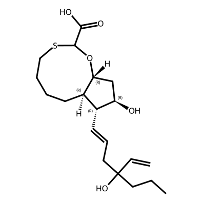 C=CC(O)(CC=C[C@@H]1[C@H]2CCCCSC(C(=O)O)O[C@@H]2C[C@H]1O)CCC